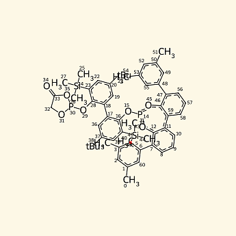 Cc1cc(C)cc(-c2cccc3c2op(Oc2c(-c4cc(C(C)(C)C)cc([Si](C)(C)C)c4OP4OCC(=O)O4)cc(C(C)(C)C)cc2[Si](C)(C)C)oc2c(-c4cc(C)cc(C)c4)cccc23)c1